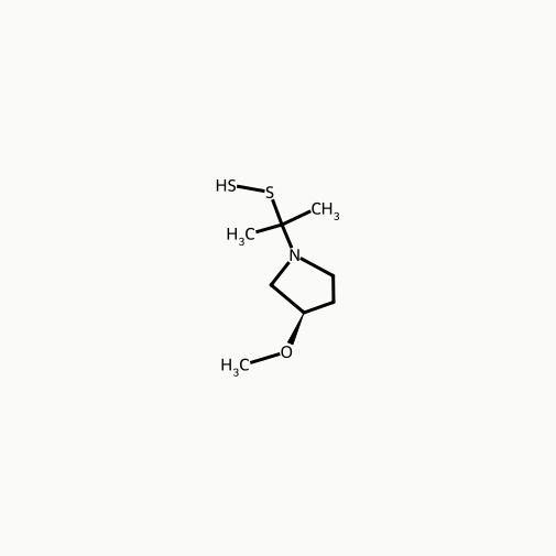 CO[C@@H]1CCN(C(C)(C)SS)C1